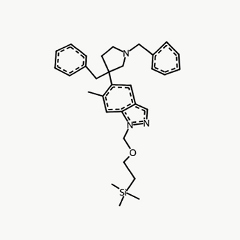 Cc1cc2c(cnn2COCC[Si](C)(C)C)cc1C1(Cc2ccccc2)CCN(Cc2ccccc2)C1